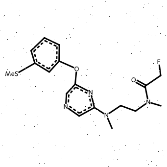 CSc1cccc(Oc2cncc(N(C)CCN(C)C(=O)CF)n2)c1